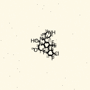 CO[C@@H]1CSc2c(-c3cc(Cl)c(F)cc3F)c(C(F)(F)F)cc3c2N(C1)C(O)N=C3N1CCNC[C@@H]1C